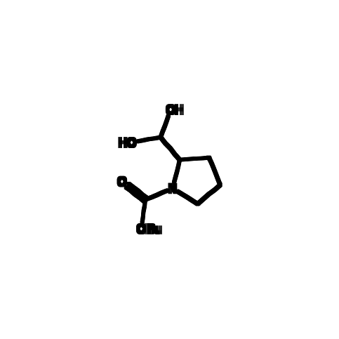 CC(C)COC(=O)N1CCCC1C(O)O